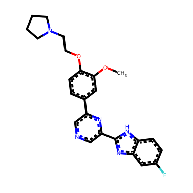 COc1cc(-c2cncc(-c3nc4cc(F)ccc4[nH]3)n2)ccc1OCCN1CCCC1